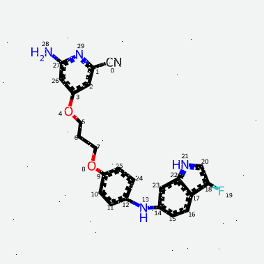 N#Cc1cc(OCCCOc2ccc(Nc3ccc4c(F)c[nH]c4c3)cc2)cc(N)n1